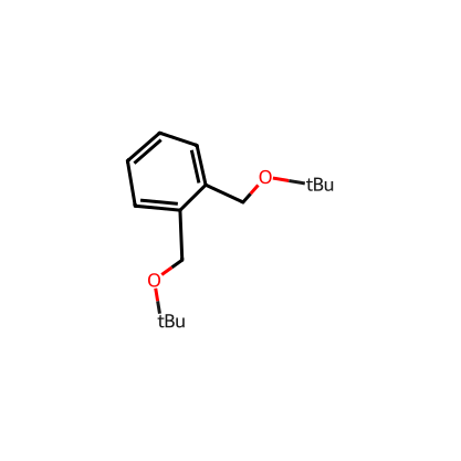 CC(C)(C)OCc1ccccc1COC(C)(C)C